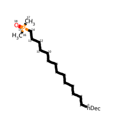 CCCCCCCCCCCCCCCCCCCCCCCCP(C)(C)=O